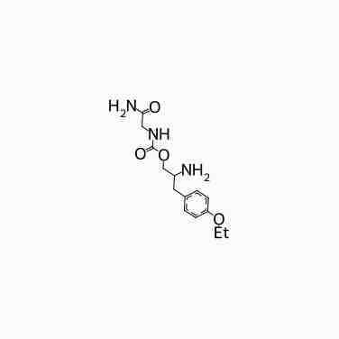 CCOc1ccc(CC(N)COC(=O)NCC(N)=O)cc1